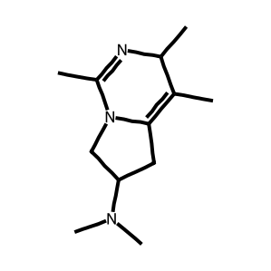 CC1=NC(C)C(C)=C2CC(N(C)C)CN12